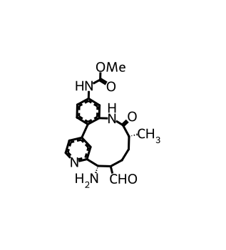 COC(=O)Nc1ccc2c(c1)NC(=O)[C@H](C)CCC(C=O)[C@H](N)c1cc-2ccn1